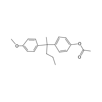 CCCC(C)(c1ccc(OC)cc1)c1ccc(OC(C)=O)cc1